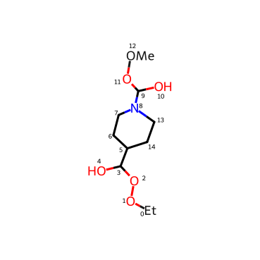 CCOOC(O)C1CCN(C(O)OOC)CC1